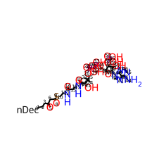 CCCCCCCCCCCCCC(=O)CC(=O)SCCNC(=O)CCNC(=O)[C@H](O)C(C)(C)COP(=O)(O)OP(=O)(O)OC[C@H]1O[C@@H](n2cnc3c(N)ncnc32)[C@H](O)[C@@H]1OP(=O)(O)O